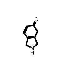 O=C1C=CC2=C(CNC2)C1